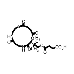 CC(C)(COC(=O)CCC(=O)O)[C@H]1OC(=O)CCC(=O)SCCNC(=O)CCNC1=O